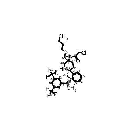 CCCCOC[C@@]1(NC(=O)CCl)CC[C@@](CO[C@H](C)c2cc(C(F)(F)F)cc(C(F)(F)F)c2)(c2ccccc2)NC1